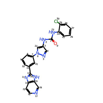 O=C(Nc1cnn(-c2cccc(-c3nc4ccncc4[nH]3)c2)c1)Nc1ccccc1Cl